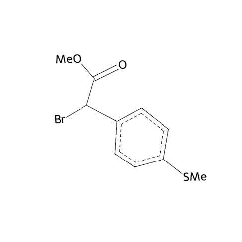 COC(=O)C(Br)c1ccc(SC)cc1